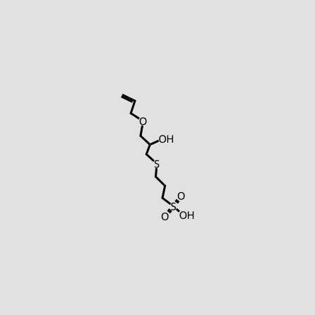 C=CCOCC(O)CSCCCS(=O)(=O)O